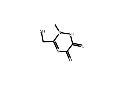 Cn1[nH]c(=O)c(=O)nc1CS